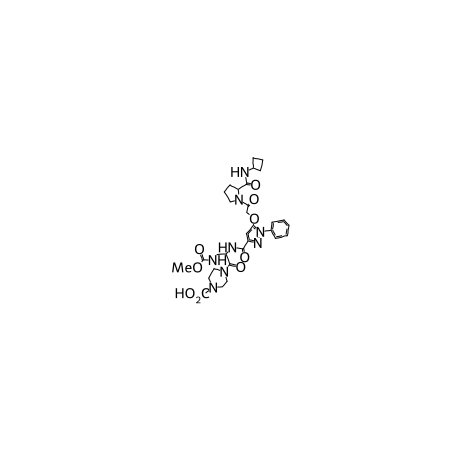 COC(=O)NCC(NC(=O)c1cc(OCC(=O)N2CCCC2C(=O)NC2CCC2)n(-c2ccccc2)n1)C(=O)N1CCN(C(=O)O)CC1